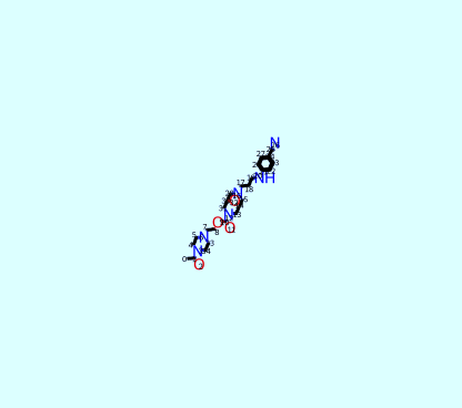 CC(=O)N1CCN(CCOC(=O)N2CC3CN(CCCNc4ccc(C#N)cc4)CC(C2)O3)CC1